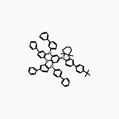 CC(C)(C)c1ccc(-c2ccc3c(c2)C2(C)CCCCC2(C)N3c2cc3c4c(c2)N(c2cccc(-c5ccccc5)c2)c2cc(-c5ccccc5)ccc2B4c2cc(-c4ccccc4)ccc2N3c2ccc(-c3ccccc3)cc2)cc1